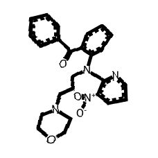 O=C(c1ccccc1)c1ccccc1N(CCCN1CCOCC1)c1ncccc1[N+](=O)[O-]